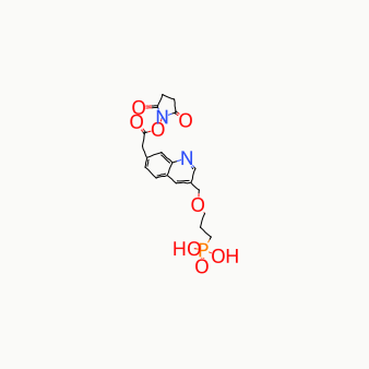 O=C(Cc1ccc2cc(COCCCP(=O)(O)O)cnc2c1)ON1C(=O)CCC1=O